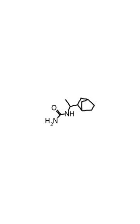 CC(NC(N)=O)C1CC2CCC1C2